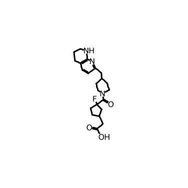 O=C(O)CC1CCC(F)(C(=O)N2CCC(Cc3ccc4c(n3)NCCC4)CC2)C1